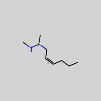 CCC/C=C\CN(C)NC